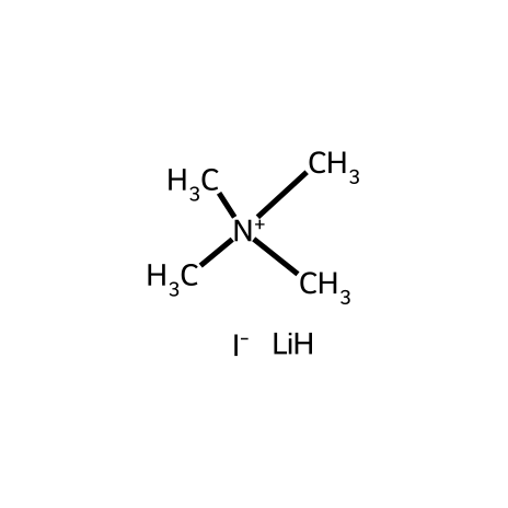 C[N+](C)(C)C.[I-].[LiH]